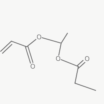 C=CC(=O)OC(C)OC(=O)CC